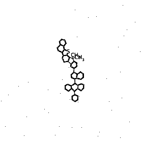 CC1(C)c2ccc(-c3ccc(-c4c5ccccc5c(-c5ccccc5)c5ccccc45)c4ccccc34)cc2-c2ccc3c(sc4c5ccccc5ccc34)c21